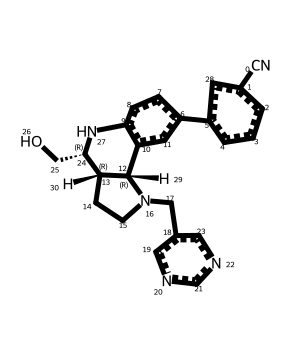 N#Cc1cccc(-c2ccc3c(c2)[C@H]2[C@H](CCN2Cc2cncnc2)[C@H](CO)N3)c1